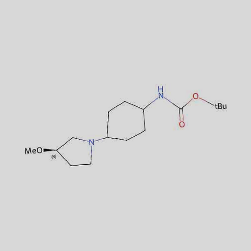 CO[C@@H]1CCN(C2CCC(NC(=O)OC(C)(C)C)CC2)C1